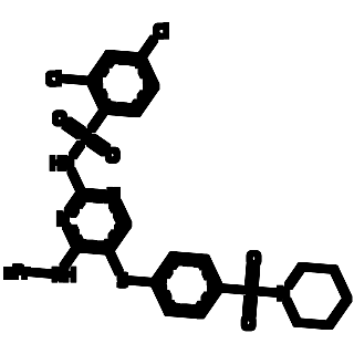 CCCNc1nc(NS(=O)(=O)c2ccc(Cl)cc2Cl)ncc1Sc1ccc(S(=O)(=O)N2CCCCC2)cc1